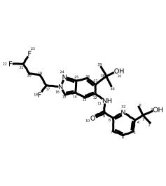 CC(C)(O)c1cccc(C(=O)Nc2cc3cn(C(F)CCC(F)F)nc3cc2C(C)(C)O)n1